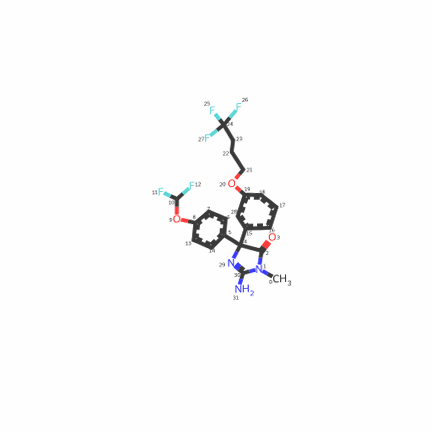 CN1C(=O)C(c2ccc(OC(F)F)cc2)(c2cccc(OCCCC(F)(F)F)c2)N=C1N